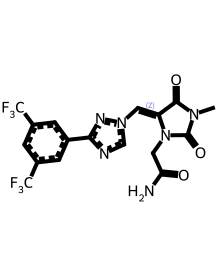 CN1C(=O)/C(=C/n2cnc(-c3cc(C(F)(F)F)cc(C(F)(F)F)c3)n2)N(CC(N)=O)C1=O